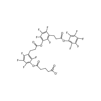 O=C(CCc1c(F)c(F)c(F)c(OC(=O)CCc2c(F)c(F)c(F)c(OC(=O)CCC[N+](=O)[O-])c2F)c1F)Oc1c(F)c(F)c(F)c(F)c1F